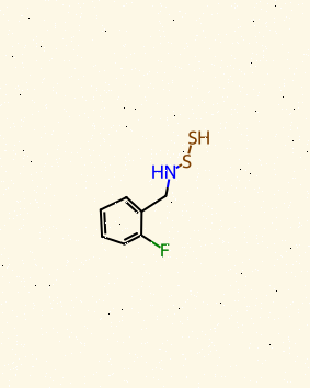 Fc1ccccc1CNSS